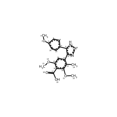 COc1ccc(-c2[nH]nnc2-c2cc(OC)c(C(=O)O)c(OC)c2C)cc1